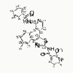 COc1ncccc1C(=O)Nc1nc(-c2cccc(C)c2)c(-c2ccnc(NC(=O)c3ccccc3)c2)s1